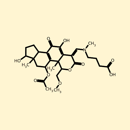 COCC1OC(=O)/C(=C\N(C)CCCC(=O)O)C2=C(O)C(=O)C3=C(C(OC(C)=O)CC4(C)C(O)CCC34)C21C